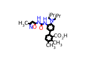 Cc1cc(NC(=O)Nc2cc(-c3ccc(C)c(C)c3C(=O)O)ccc2N(CC(C)C)CC(C)C)on1